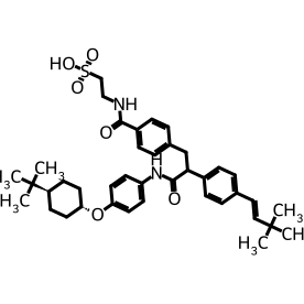 CC(C)(C)/C=C/c1ccc(C(Cc2ccc(C(=O)NCCS(=O)(=O)O)cc2)C(=O)Nc2ccc(O[C@H]3CC[C@H](C(C)(C)C)CC3)cc2)cc1